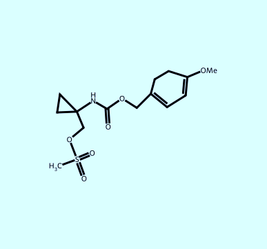 COC1=CC=C(COC(=O)NC2(COS(C)(=O)=O)CC2)CC1